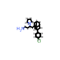 NCCC(CC12CC3CC(C1)CC(c1ccc(Cl)cc1)(C3)C2)N1CCCC1